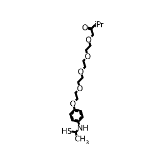 CC(S)Nc1ccc(OCCOCCOCCOCCOCC(=O)C(C)C)cc1